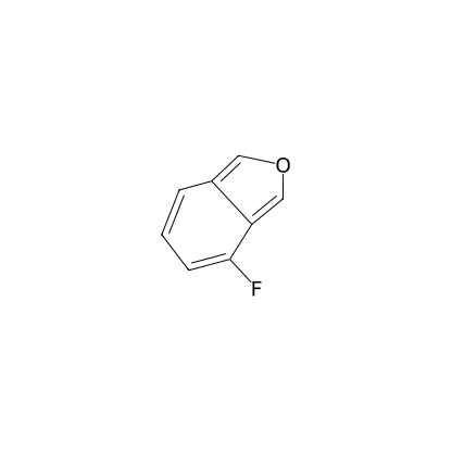 Fc1cccc2cocc12